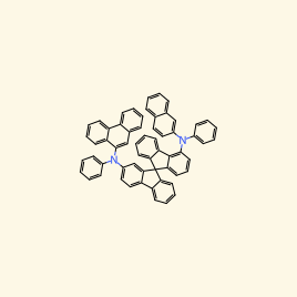 c1ccc(N(c2ccc3ccccc3c2)c2cccc3c2-c2ccccc2C32c3ccccc3-c3ccc(N(c4ccccc4)c4cc5ccccc5c5ccccc45)cc32)cc1